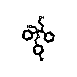 OCC[C@@H](c1ccccc1)[C@](CO)(OCc1ccc(Br)cc1)c1ccccc1